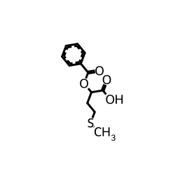 CSCCC(OC(=O)c1ccccc1)C(=O)O